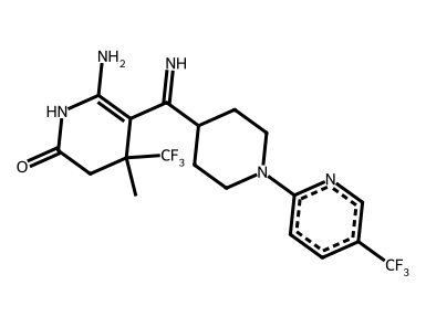 CC1(C(F)(F)F)CC(=O)NC(N)=C1C(=N)C1CCN(c2ccc(C(F)(F)F)cn2)CC1